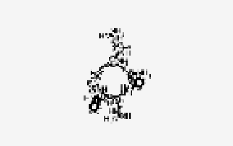 CC(=O)N[C@@H](CCCNC(=N)N)C(=O)N[C@H]1CCCCNC(=O)C[C@@H](C(=O)O)NC(=O)[C@H](Cc2c[nH]c3ccccc23)NC(=O)[C@H](CCCNC(=N)N)NC(=O)[C@@H](Cc2ccccc2)NC(=O)[C@H](CCN)NC1=O